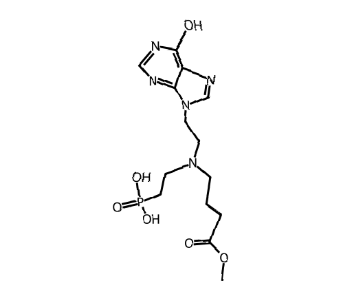 COC(=O)CCCN(CCn1cnc2c(O)ncnc21)CCP(=O)(O)O